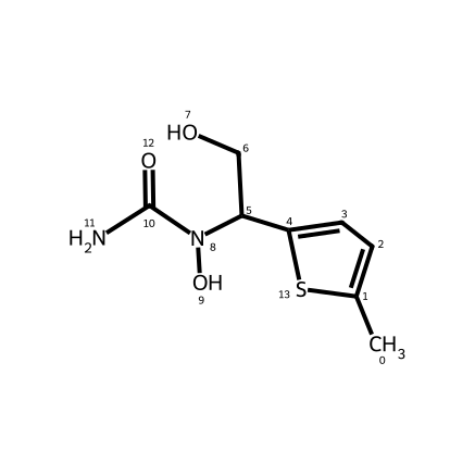 Cc1ccc(C(CO)N(O)C(N)=O)s1